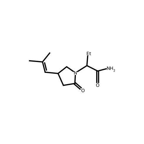 CCC(C(N)=O)N1CC(C=C(C)C)CC1=O